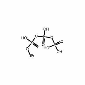 C=P(O)(OC(C)C)OP(=O)(O)OP(=O)(O)O